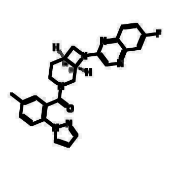 Cc1ccc(-n2cccn2)c(C(=O)N2CC[C@H]3CN(c4cnc5cc(F)ccc5n4)[C@H]3C2)c1